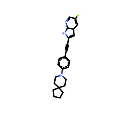 FC1=CC2C=C(C#Cc3ccc(N4CCC5(CCCC5)CC4)cc3)NC2N=C1